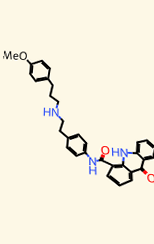 COc1ccc(CCCNCCc2ccc(NC(=O)c3cccc4c(=O)c5ccccc5[nH]c34)cc2)cc1